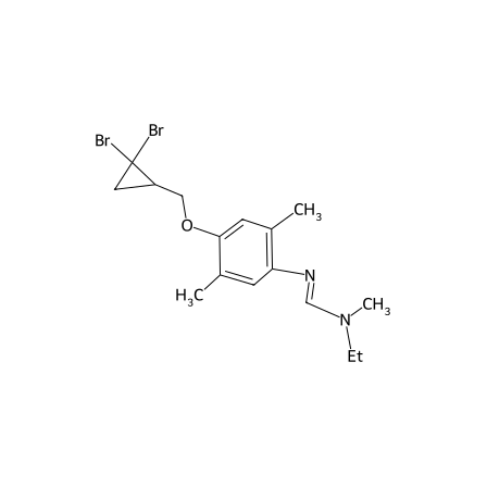 CCN(C)C=Nc1cc(C)c(OCC2CC2(Br)Br)cc1C